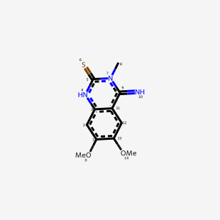 COc1cc2[nH]c(=S)n(C)c(=N)c2cc1OC